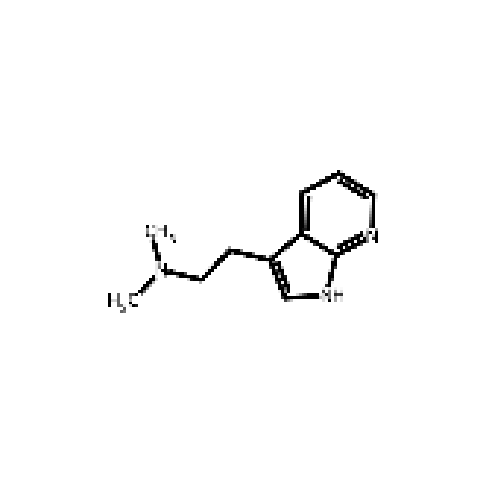 CN(C)CCc1c[nH]c2ncccc12